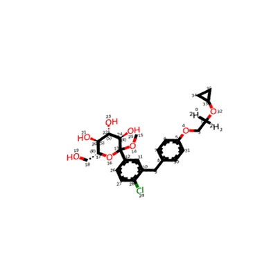 [2H]C([2H])(COc1ccc(Cc2cc(C3(OC)O[C@H](CO)[C@@H](O)[C@H](O)[C@H]3O)ccc2Cl)cc1)OC1CC1